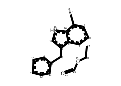 Brc1cccc2c(Cc3ccccc3)c[nH]c12.CCOC=O